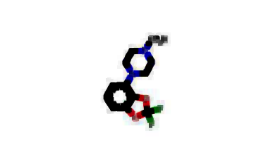 O=C(O)N1CCN(c2cccc3c2OC(F)(F)O3)CC1